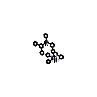 N=C(/C(=C1\NC(c2ccccc2)=Cc2cc(-c3cccc(-c4nc(-c5ccccc5)cc(-c5cc(-c6ccccc6)cc(-c6ccccc6)c5)n4)c3)ccc21)c1ccccc1)c1ccccc1